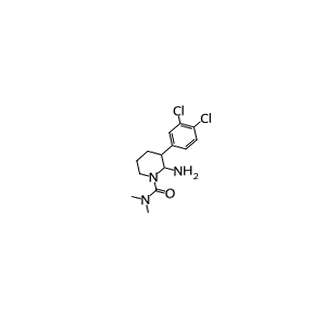 CN(C)C(=O)N1CCCC(c2ccc(Cl)c(Cl)c2)C1N